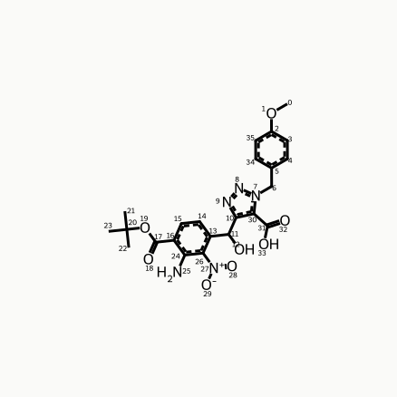 COc1ccc(Cn2nnc(C(O)c3ccc(C(=O)OC(C)(C)C)c(N)c3[N+](=O)[O-])c2C(=O)O)cc1